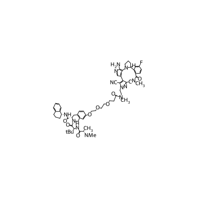 CN[C@@H](C)C(=O)N[C@H](C(=O)N1Cc2cc(OCCOCCOCCC(=O)N(C)CCn3nc4c(c3C#N)-c3cnc(N)c(c3)N3CCC[C@@H]3c3cc(F)ccc3C(=O)N(C)C4)ccc2C[C@H]1C(=O)N[C@@H]1CCCc2ccccc21)C(C)(C)C